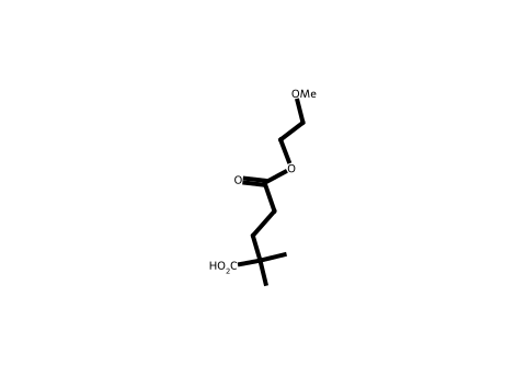 COCCOC(=O)CCC(C)(C)C(=O)O